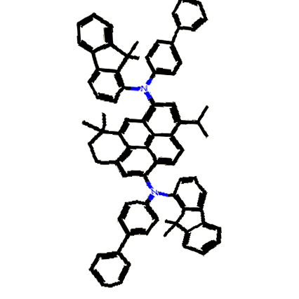 CC(C)c1cc(N(c2ccc(-c3ccccc3)cc2)c2cccc3c2C(C)(C)c2ccccc2-3)c2cc3c4c(cc(N(c5ccc(-c6ccccc6)cc5)c5cccc6c5C(C)(C)c5ccccc5-6)c5ccc1c2c54)CCC3(C)C